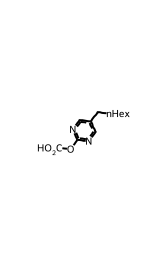 CCCCCCCc1cnc(OC(=O)O)nc1